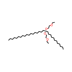 CCCCCCCCCCCCCCCCCC[Si](CCCCCCCCCCCC)(OCCOCC)OCCOCC